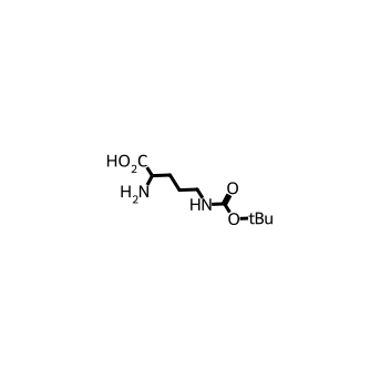 CC(C)(C)OC(=O)NCCCC(N)C(=O)O